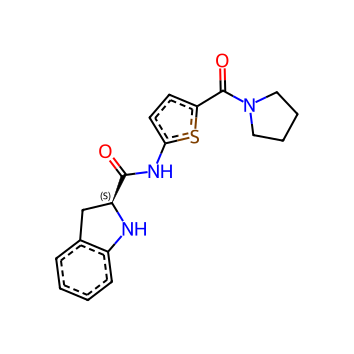 O=C(Nc1ccc(C(=O)N2CCCC2)s1)[C@@H]1Cc2ccccc2N1